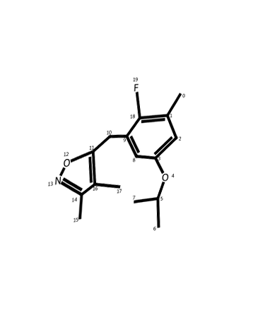 Cc1cc(OC(C)C)cc(Cc2onc(C)c2C)c1F